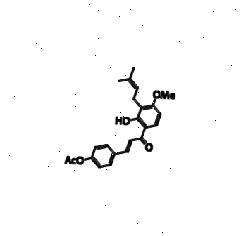 COc1ccc(C(=O)C=Cc2ccc(OC(C)=O)cc2)c(O)c1CC=C(C)C